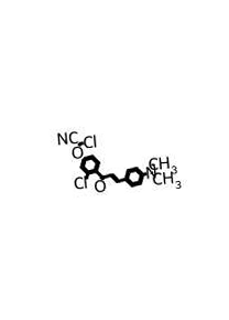 CN(C)c1ccc(C=CC(=O)c2ccc(OC(Cl)C#N)cc2Cl)cc1